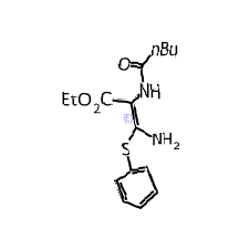 CCCCC(=O)N/C(C(=O)OCC)=C(\N)Sc1ccccc1